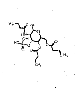 CCCC(=O)N[C@H]1C(O)OC(COC(=O)CCC)[C@@H](OC(=O)CCC)[C@@H]1OP(=O)(O)O